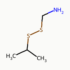 CC(C)SSCN